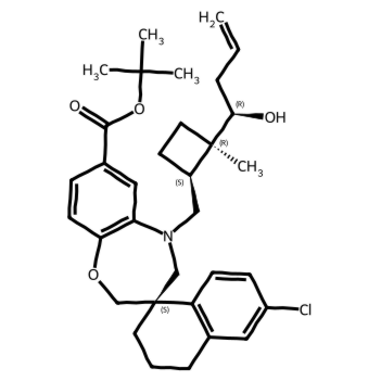 C=CC[C@@H](O)[C@]1(C)CC[C@@H]1CN1C[C@@]2(CCCc3cc(Cl)ccc32)COc2ccc(C(=O)OC(C)(C)C)cc21